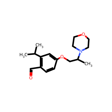 CC(C)c1cc(OCC(C)N2CCOCC2)ccc1C=O